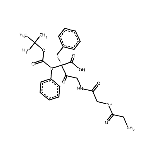 CC(C)(C)OC(=O)N(c1ccccc1)[C@@](Cc1ccccc1)(C(=O)O)C(=O)CNC(=O)CNC(=O)CN